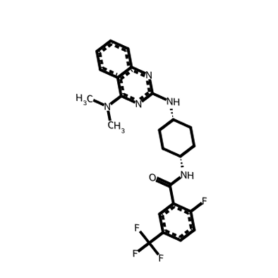 CN(C)c1nc(N[C@H]2CC[C@@H](NC(=O)c3cc(C(F)(F)F)ccc3F)CC2)nc2ccccc12